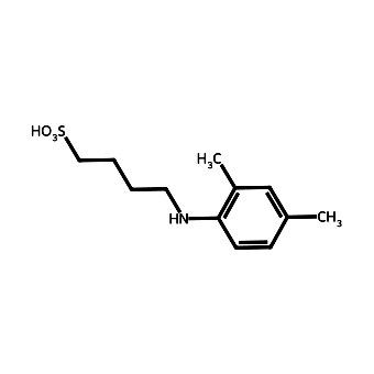 Cc1ccc(NCCCCS(=O)(=O)O)c(C)c1